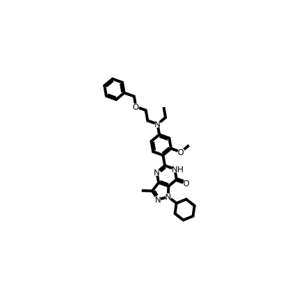 CCN(CCOCc1ccccc1)c1ccc(-c2nc3c(C)nn(C4CCCCC4)c3c(=O)[nH]2)c(OC)c1